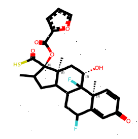 CC1CC2C3CC(F)C4=CC(=O)C=C[C@]4(C)C3(F)[C@@H](O)C[C@]2(C)[C@@]1(OC(=O)c1ccco1)C(=O)S